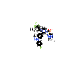 C/C=N\N(c1ccc(F)cc1)c1ccc(C2CN([S+]([O-])c3cnn(C)n3)CCN2CC(C)(C)C(F)(F)F)c(C)c1